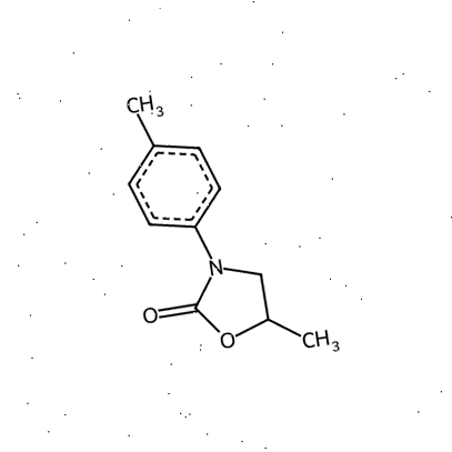 Cc1ccc(N2CC(C)OC2=O)cc1